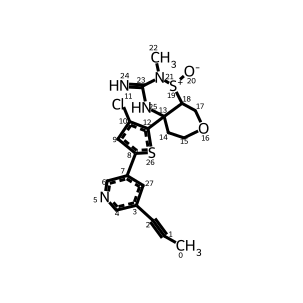 CC#Cc1cncc(-c2cc(Cl)c(C34CCOCC3[S+]([O-])N(C)C(=N)N4)s2)c1